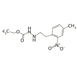 CCOC(=O)NNCCc1ccc(C)cc1[N+](=O)[O-]